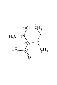 CCC(C)[C@H](C(=O)O)N(C)C